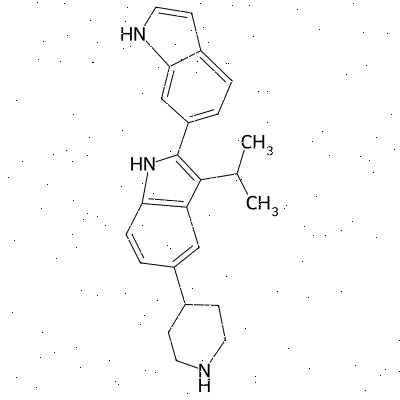 CC(C)c1c(-c2ccc3cc[nH]c3c2)[nH]c2ccc(C3CCNCC3)cc12